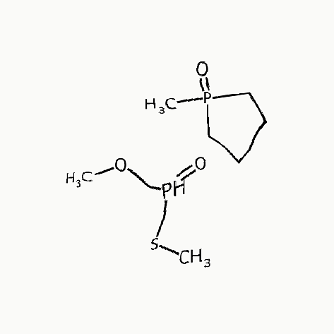 CO[PH](=O)SC.CP1(=O)CCCC1